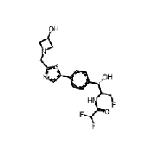 O=C(N[C@H](CF)[C@@H](O)c1ccc(-c2cnc(CN3CC(O)C3)s2)cc1)C(F)F